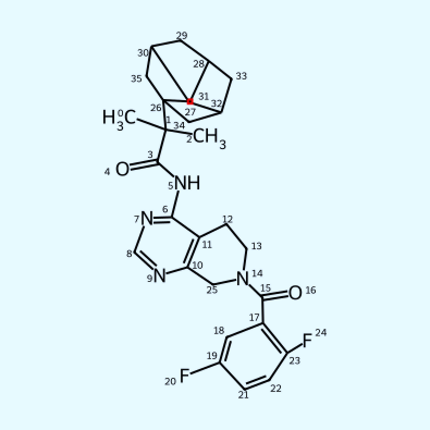 CC(C)(C(=O)Nc1ncnc2c1CCN(C(=O)c1cc(F)ccc1F)C2)C12CC3CC(CC(C3)C1)C2